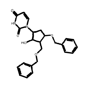 O=c1ccn(C2CC(OCc3ccccc3)C(COCc3ccccc3)C2O)c(=O)[nH]1